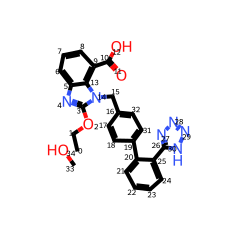 CCOc1nc2cccc(C(=O)O)c2n1Cc1ccc(-c2ccccc2-c2nnn[nH]2)cc1.CO